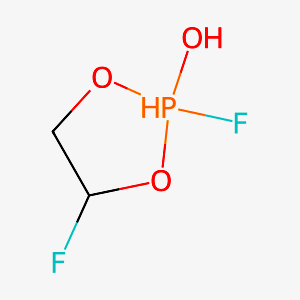 O[PH]1(F)OCC(F)O1